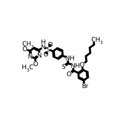 CCCCCCOc1ccc(Br)cc1C(=O)NC(=S)Nc1ccc(S(=O)(=O)Nc2cc(OC)nc(OC)n2)cc1